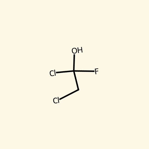 OC(F)(Cl)CCl